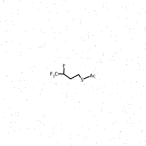 CC(=O)SCCC(F)C(F)(F)F